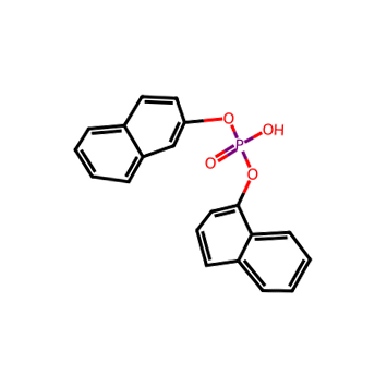 O=P(O)(Oc1ccc2ccccc2c1)Oc1cccc2ccccc12